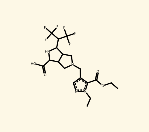 CCOC(=O)c1c(CN2CC3C(C(=O)O)NC(C(C(F)(F)F)C(F)(F)F)C3C2)cnn1CC